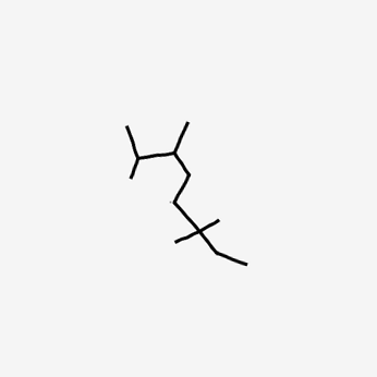 CCC(C)(C)[CH]CC(C)C(C)C